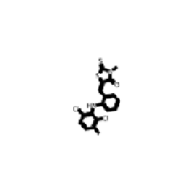 Cc1ccc(Cl)c(Nc2ccccc2C=C2SC(=S)N(C)C2=O)c1Cl